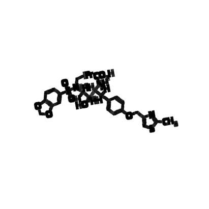 [2H]C([2H])(c1ccc(OCc2csc(C)n2)cc1)[C@]([2H])(NC(=O)O)[C@]([2H])(O)C([2H])([2H])N(CC(C)C)S(=O)(=O)c1ccc2c(c1)OCO2